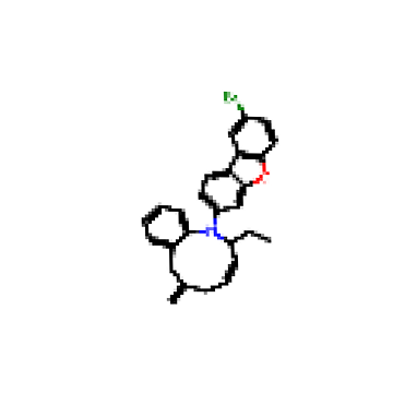 C=C1C/C=C\C(CC)N(c2ccc3c(c2)oc2ccc(Br)cc23)c2ccccc2C1